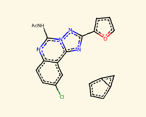 CC(=O)Nc1nc2ccc(Cl)cc2c2nc(-c3ccco3)nn12.c1cc2cc-2c1